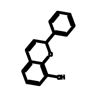 Oc1cccc2c1OC(c1ccccc1)C=C2